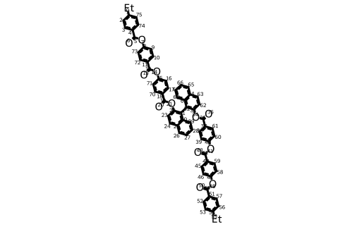 CCc1ccc(C(=O)Oc2ccc(C(=O)Oc3ccc(C(=O)Oc4ccc5ccccc5c4-c4c(OC(=O)c5ccc(OC(=O)c6ccc(OC(=O)c7ccc(CC)cc7)cc6)cc5)ccc5ccccc45)cc3)cc2)cc1